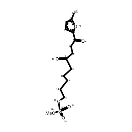 CCc1ccc(C(=O)CCC(=O)CCCCCOS(=O)(=O)OC)o1